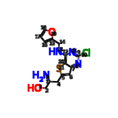 NC(CO)Cc1cc2nc(Cl)nc(NCc3ccco3)c2s1